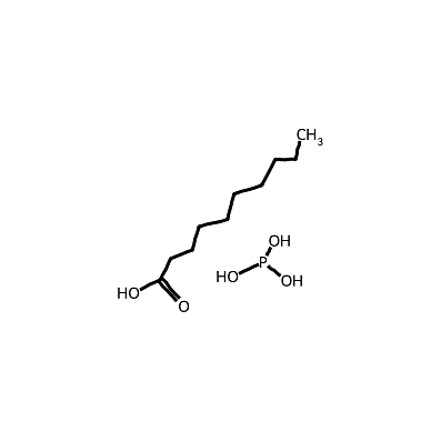 CCCCCCCCCC(=O)O.OP(O)O